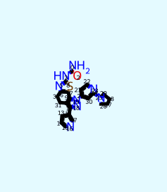 NC(=O)Nc1nc2c(s1)-c1c(c(-c3cccnc3)nn1-c1ccnc(N3CCCC3)c1)CC2